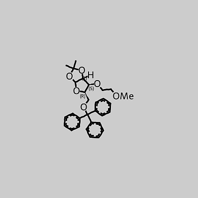 COCCO[C@H]1[C@@H](COC(c2ccccc2)(c2ccccc2)c2ccccc2)OC2OC(C)(C)O[C@@H]21